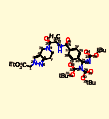 CCOC(=O)Cn1cc2c(n1)CCN(C(=O)[C@H](C)NC(=O)c1ccc(/C(=N\C(=O)OC(C)(C)C)N(C(=O)OC(C)(C)C)C(=O)OC(C)(C)C)cc1)C2